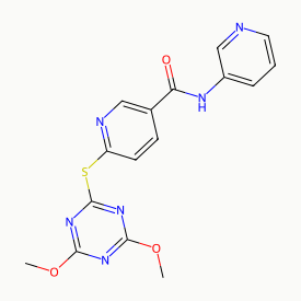 COc1nc(OC)nc(Sc2ccc(C(=O)Nc3cccnc3)cn2)n1